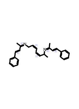 CC(/C=C/c1ccccc1)=N/C/C=C\C=C/C(C)/N=C(C)\C=C\c1ccccc1